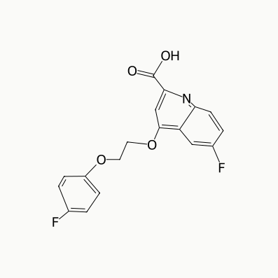 O=C(O)c1cc(OCCOc2ccc(F)cc2)c2cc(F)ccc2n1